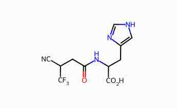 N#CC(CC(=O)NC(Cc1c[nH]cn1)C(=O)O)C(F)(F)F